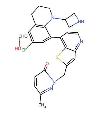 Cc1ccc(=O)n(Cc2cc3nccc(-c4cc(Cl)cc5c4N(C4CNC4)CCC5)c3s2)n1.O=CO